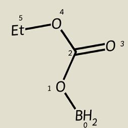 BOC(=O)OCC